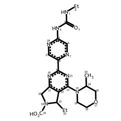 CCNC(=O)Nc1cnc(-c2nc3c(c(N4CCOCC4C)n2)C(CC)N(C(=O)O)C3)cn1